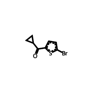 O=C(c1ccc(Br)s1)C1CC1